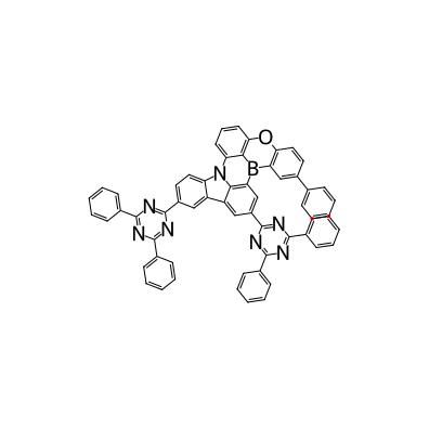 c1ccc(-c2ccc3c(c2)B2c4c(cccc4-n4c5ccc(-c6nc(-c7ccccc7)nc(-c7ccccc7)n6)cc5c5cc(-c6nc(-c7ccccc7)nc(-c7ccccc7)n6)cc2c54)O3)cc1